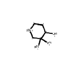 CCCC1(CCC)CNCCC1O